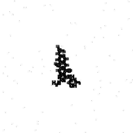 CCC[C@@H](CO)Nc1nc(N)nc2ccn(Cc3ccc(CN(C)C)cc3OC)c(=O)c12